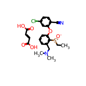 CC[S+]([O-])c1c(CN(C)C)cccc1Oc1cc(Cl)ccc1C#N.O=C(O)C=CC(=O)O